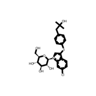 CC(C)(O)Cc1ccc(Sc2cn([C@@H]3O[C@H](CO)[C@@H](O)[C@H](O)[C@H]3O)c3cc(Cl)ccc23)cc1